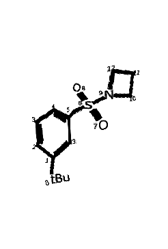 CC(C)(C)c1cccc(S(=O)(=O)N2CCC2)c1